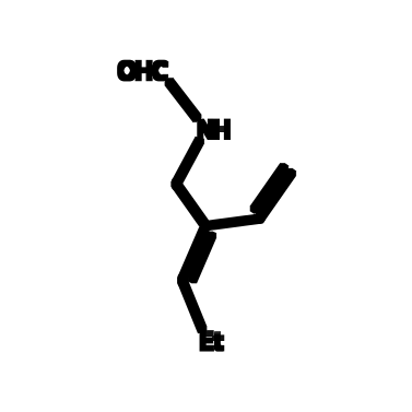 C=C/C(=C\CC)CNC=O